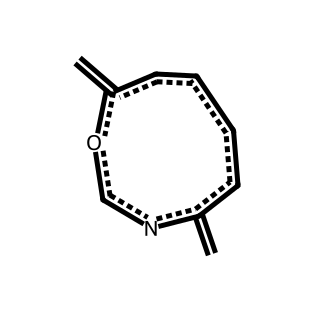 C=c1ccccc(=C)ocn1